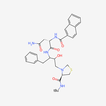 CC(C)(C)NC(=O)[C@@H]1CSCN1CC(O)C(Cc1ccccc1)NC(=O)[C@H](CC(N)=O)NC(=O)c1ccc2ccccc2c1